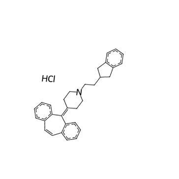 C1=Cc2ccccc2C(=C2CCN(CCC3Cc4ccccc4C3)CC2)c2ccccc21.Cl